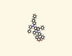 c1ccc(-c2cccc(N(c3cccc(-c4ccccc4N(c4ccc(-c5cccc6oc7ccc8ccccc8c7c56)cc4)c4cccc(-c5ccccc5)c4)c3)c3ccc4cc(-c5ccccc5)ccc4c3)c2)cc1